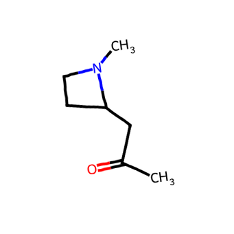 CC(=O)CC1CCN1C